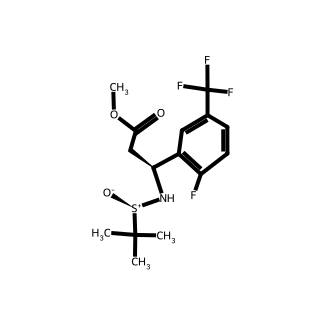 COC(=O)C[C@H](N[S@+]([O-])C(C)(C)C)c1cc(C(F)(F)F)ccc1F